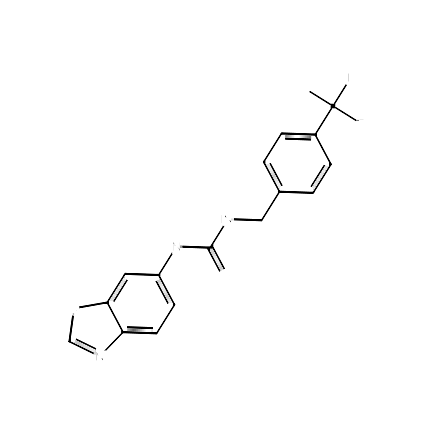 O=C(NCc1ccc(C(F)(F)F)cc1)Nc1ccc2ncsc2c1